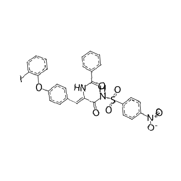 O=C(NS(=O)(=O)c1ccc([N+](=O)[O-])cc1)C(=Cc1ccc(Oc2ccccc2I)cc1)NC(=O)c1ccccc1